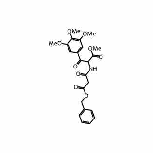 COC(=O)C(NC(=O)CC(=O)OCc1ccccc1)C(=O)c1cc(OC)c(OC)c(OC)c1